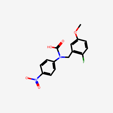 COc1ccc(F)c(CN(C(=O)O)c2ccc([N+](=O)[O-])cc2)c1